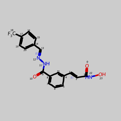 O=C(/C=C/c1cccc(C(=O)N/N=C/c2ccc(C(F)(F)F)cc2)c1)NO